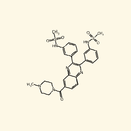 CN1CCN(C(=O)c2ccc3nc(-c4cccc(NS(C)(=O)=O)c4)c(-c4cccc(NS(C)(=O)=O)c4)nc3c2)CC1